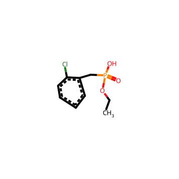 CCOP(=O)(O)Cc1ccccc1Cl